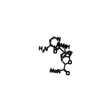 CNC(=O)C1Oc2c3c(Nc4nccc(N)n4)cc1c2C(C(=O)NC)O3